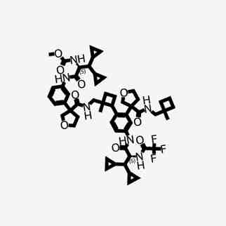 COC(=O)N[C@H](C(=O)Nc1cccc(C2(C(=O)NCC3(C)CCC3c3ccc(NC(=O)[C@@H](NC(=O)C(F)(F)F)C(C4CC4)C4CC4)cc3C3(C(=O)NCC4(C)CCC4)CCOC3)CCOC2)c1)C(C1CC1)C1CC1